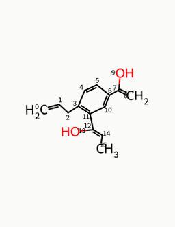 C=CCc1ccc(C(=C)O)cc1C(O)=CC